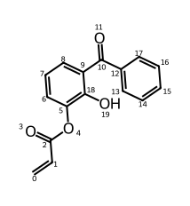 C=CC(=O)Oc1cccc(C(=O)c2ccccc2)c1O